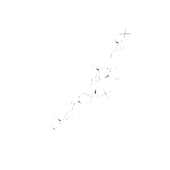 CC(C)(C)OC(=O)NCCC[C@H](NC(=O)O)C(=O)NCCC[C@@H](CC(=O)NCCNC(=O)OC(C)(C)C)NC(=O)OC(C)(C)C